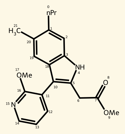 CCCc1cc2[nH]c(CC(=O)OC)c(-c3cccnc3OC)c2cc1C